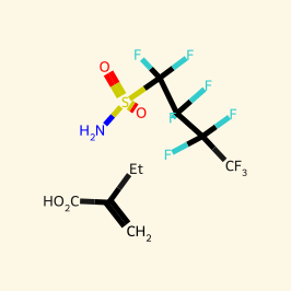 C=C(CC)C(=O)O.NS(=O)(=O)C(F)(F)C(F)(F)C(F)(F)C(F)(F)F